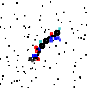 CC(=O)NC[C@H]1CN(c2ccc(-c3ccc(CNC(=O)C(N)c4ccc(F)cc4)cc3)c(F)c2)C(=O)O1